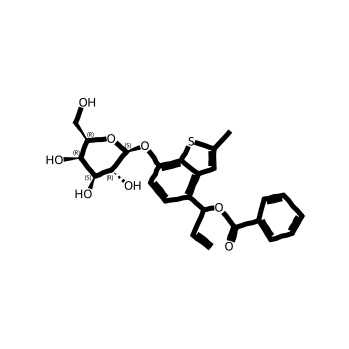 C=CC(OC(=O)c1ccccc1)c1ccc(O[C@@H]2O[C@H](CO)[C@H](O)[C@H](O)[C@H]2O)c2sc(C)cc12